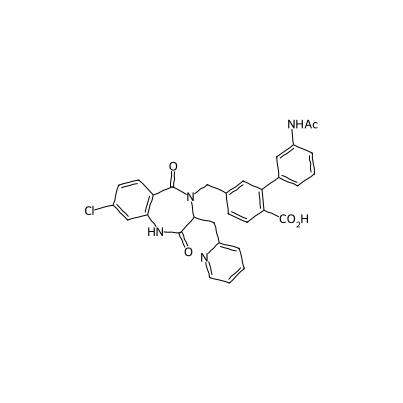 CC(=O)Nc1cccc(-c2cc(CN3C(=O)c4ccc(Cl)cc4NC(=O)C3Cc3ccccn3)ccc2C(=O)O)c1